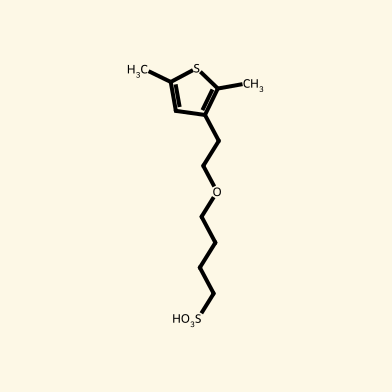 Cc1cc(CCOCCCCS(=O)(=O)O)c(C)s1